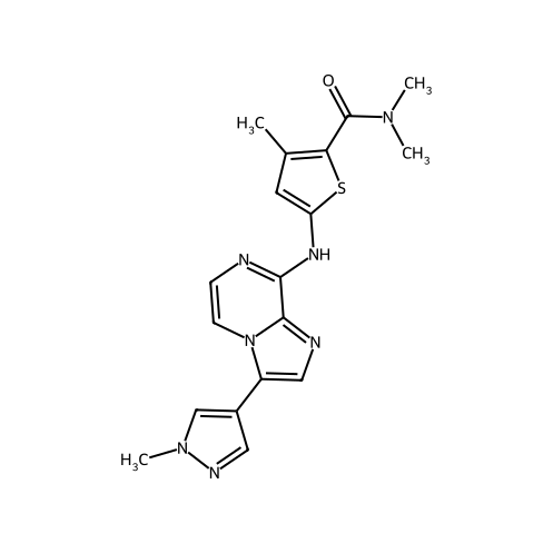 Cc1cc(Nc2nccn3c(-c4cnn(C)c4)cnc23)sc1C(=O)N(C)C